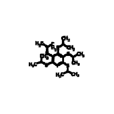 CC(C)Sc1[c]c(SC(C)C)c(SC(C)C)c(SC(C)C)c1SC(C)C